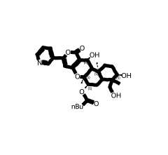 CCCCC(=O)O[C@H]1CC2C(C)(CO)[C@@H](O)CC[C@]2(C)C2[C@@H](O)c3c(cc(-c4cccnc4)oc3=O)O[C@@]21C